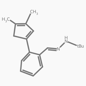 CC1=C(C)CC(c2ccccc2/C=N/NC(C)(C)C)=C1